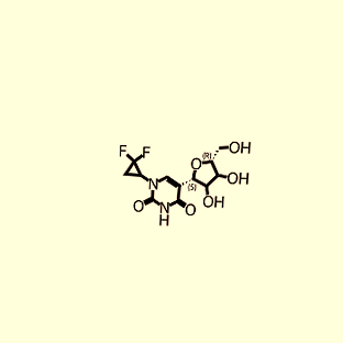 O=c1[nH]c(=O)n(C2CC2(F)F)cc1[C@@H]1O[C@H](CO)C(O)C1O